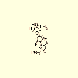 CC(C)(O)COc1cc(F)c(-c2nc(CO)ccc2F)c(F)c1